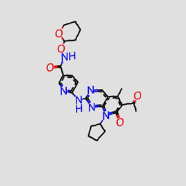 CC(=O)c1c(C)c2cnc(Nc3ccc(C(=O)NOC4CCCCO4)cn3)nc2n(C2CCCC2)c1=O